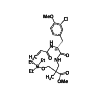 C=CC(=O)N[C@H](Cc1ccc(OC)c(Cl)c1)C(=O)NCC(C)(CO[Si](CC)(CC)CC)C(=O)OC